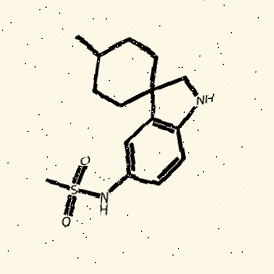 CC1CCC2(CC1)CNc1ccc(NS(C)(=O)=O)cc12